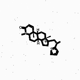 CC(CC1CC[C@H]2[C@@H]3CCC4N(C)C(=O)C=C[C@]4(C)[C@@H]3CC[C@]12C)c1cccs1